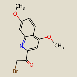 COc1ccc2c(OC)cc(C(=O)CBr)nc2c1